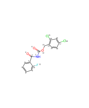 O=C(NC(=O)c1ccccc1F)OCc1ccc(Cl)cc1Cl